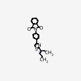 C=C/C=C(\C=C)c1nc(-c2ccc(N3C(=O)c4ccccc4C3=O)cc2)cs1